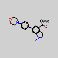 COC(=O)c1cc(-c2ccc(N3CCOCC3)cc2)cc2c1CCN2C